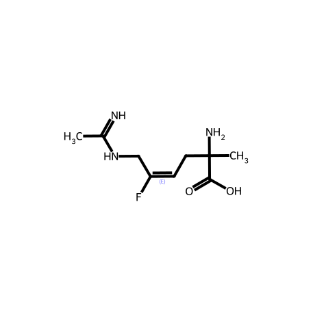 CC(=N)NC/C(F)=C\CC(C)(N)C(=O)O